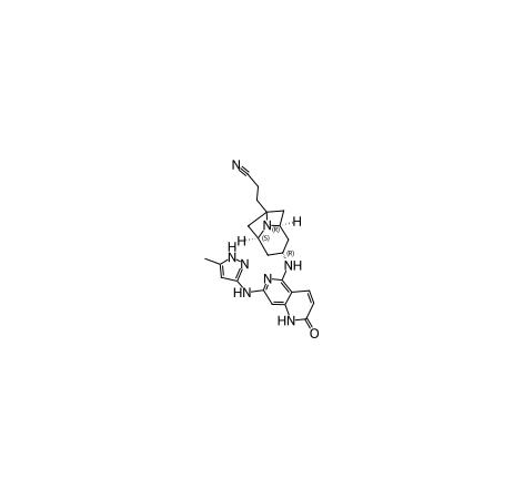 Cc1cc(Nc2cc3[nH]c(=O)ccc3c(N[C@H]3C[C@@H]4CC5(CCC#N)C[C@H](C3)N45)n2)n[nH]1